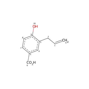 C=CCc1cc(C(=O)O)ccc1O